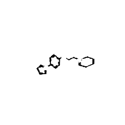 c1ccn(-c2ccc(OCCN3CCCCC3)cc2)c1